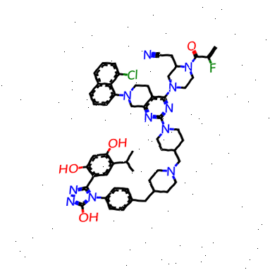 C=C(F)C(=O)N1CCN(c2nc(N3CCC(CN4CCC(Cc5ccc(-n6c(O)nnc6-c6cc(C(C)C)c(O)cc6O)cc5)CC4)CC3)nc3c2CCN(c2cccc4cccc(Cl)c24)C3)CC1CC#N